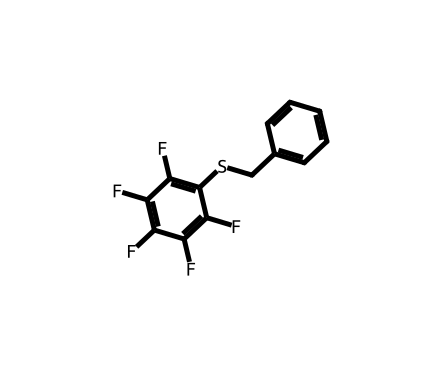 Fc1c(F)c(F)c(SCc2ccccc2)c(F)c1F